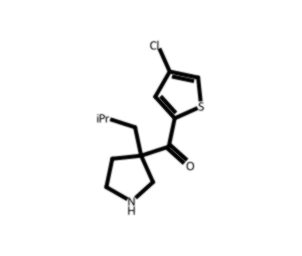 CC(C)CC1(C(=O)c2cc(Cl)cs2)CCNC1